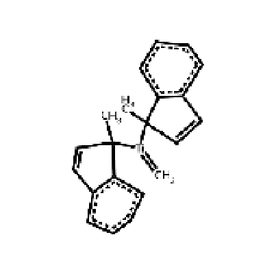 [CH2]=[Ti]([C]1(C)C=Cc2ccccc21)[C]1(C)C=Cc2ccccc21